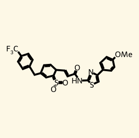 COc1ccc(-c2csc(NC(=O)C=CC3C=CC(Cc4ccc(C(F)(F)F)cc4)=CC3=S(=O)=O)n2)cc1